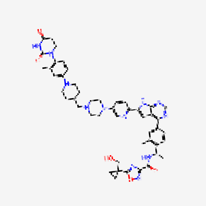 Cc1cc(-c2ncnc3[nH]c(-c4ccc(N5CCN(CC6CCN(c7ccc(N8CCC(=O)NC8=O)c(C)c7)CC6)CC5)cn4)cc23)ccc1[C@@H](C)NC(=O)c1noc(C2(CO)CC2)n1